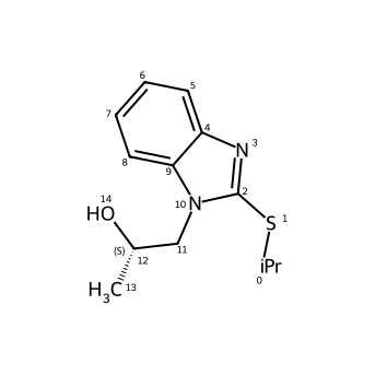 CC(C)Sc1nc2ccccc2n1C[C@H](C)O